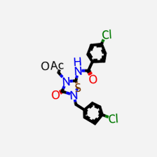 CC(=O)OCN1C(=O)N(Cc2ccc(Cl)cc2)SC1NC(=O)c1ccc(Cl)cc1